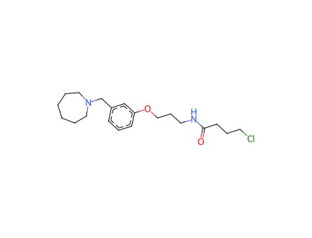 O=C(CCCCl)NCCCOc1cccc(CN2CCCCCC2)c1